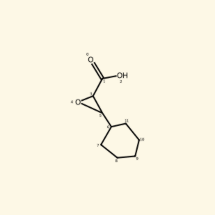 O=C(O)C1OC1C1CCCCC1